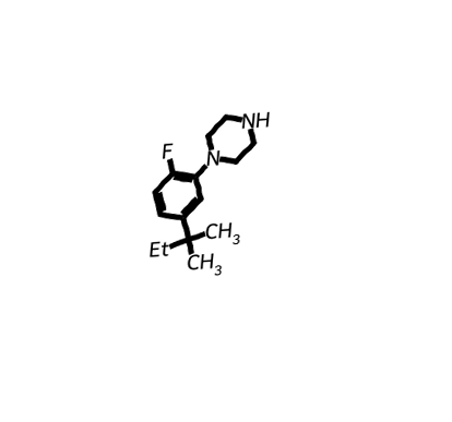 CCC(C)(C)c1ccc(F)c(N2CCNCC2)c1